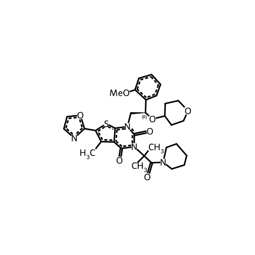 COc1ccccc1[C@H](Cn1c(=O)n(C(C)(C)C(=O)N2CCCCC2)c(=O)c2c(C)c(-c3ncco3)sc21)OC1CCOCC1